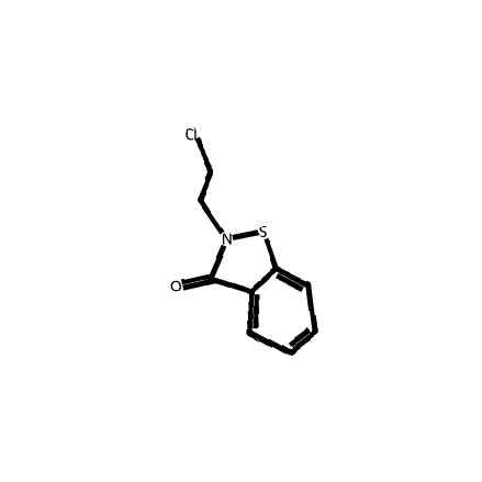 O=c1c2ccccc2sn1CCCl